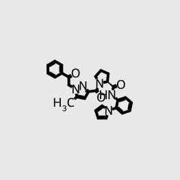 Cc1cc(C(=O)N2CCC[C@H]2C(=O)Nc2ccccc2-n2cccc2)nn1CC(=O)c1ccccc1